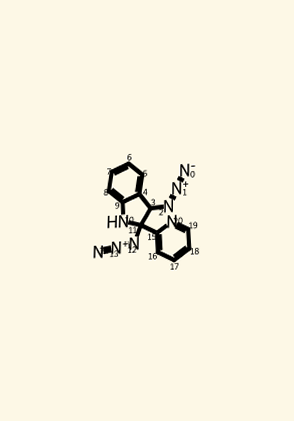 [N-]=[N+]=NC1c2ccccc2NC1(N=[N+]=[N-])c1ccccn1